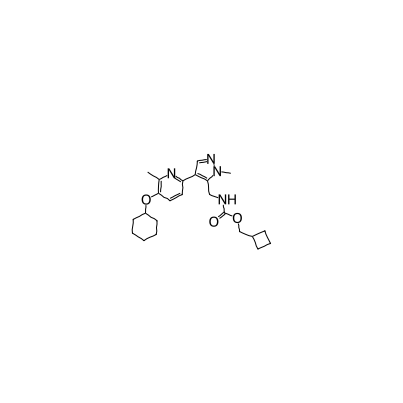 Cc1nc(-c2cnn(C)c2CNC(=O)OCC2CCC2)ccc1OC1CCCCC1